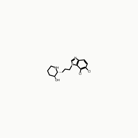 O[C@H]1CCCN[C@@H]1CCCn1cnc2ccc(Cl)c(Cl)c21